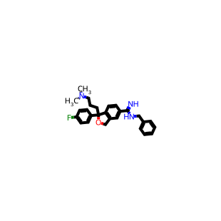 CN(C)CCCC1(c2ccc(F)cc2)OCc2cc(C(=N)NCc3ccccc3)ccc21